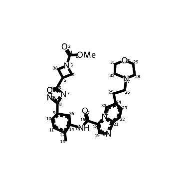 COC(=O)N1CC(c2nc(-c3ccc(C)c(NC(=O)c4cnc5ccc(CCN6CCOCC6)cn45)c3)no2)C1